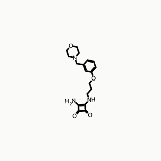 Nc1c(NCCCOc2cccc(CN3CCOCC3)c2)c(=O)c1=O